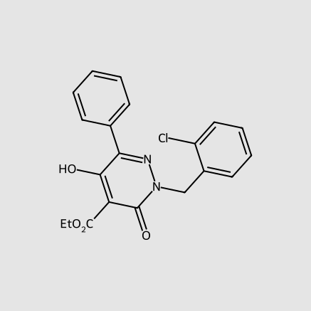 CCOC(=O)c1c(O)c(-c2ccccc2)nn(Cc2ccccc2Cl)c1=O